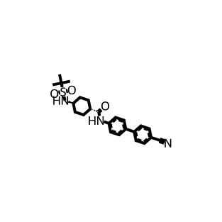 CC(C)(C)S(=O)(=O)N[C@H]1CC[C@H](C(=O)Nc2ccc(-c3ccc(C#N)cc3)cc2)CC1